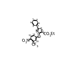 CCOC(=O)c1sc(-c2ccccc2)nc1Oc1ccc([N+](=O)[O-])c(C(F)(F)F)c1